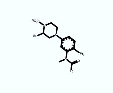 CCC(=O)N(C)c1cc(N2CCN(C(=O)O)C(C(C)(C)C)C2)ccc1N